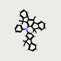 Cc1c2c(c(N(c3ccccc3)c3ccc4c(c3)C(C)(C)c3ccccc3-4)c3c1-c1ccccc1C3(C)C)C(C)(C)c1ccccc1-2